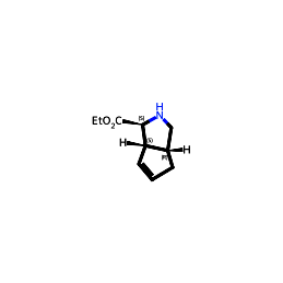 CCOC(=O)[C@H]1NC[C@@H]2CC=C[C@@H]21